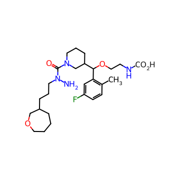 Cc1ccc(F)cc1C(OCCNC(=O)O)C1CCCN(C(=O)N(N)CCCC2CCCCOC2)C1